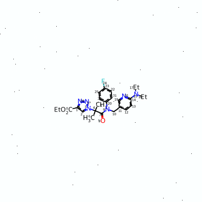 CCOC(=O)c1cn(C(C)(C)C(=O)N(Cc2ccc(N(CC)CC)nc2)c2ccc(F)cc2)nn1